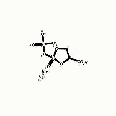 O=C(O)C1COP(=O)(OP(=O)([O-])[O-])O1.[Na+].[Na+]